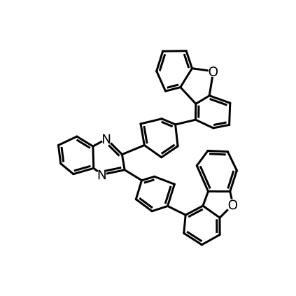 c1ccc2nc(-c3ccc(-c4cccc5oc6ccccc6c45)cc3)c(-c3ccc(-c4cccc5oc6ccccc6c45)cc3)nc2c1